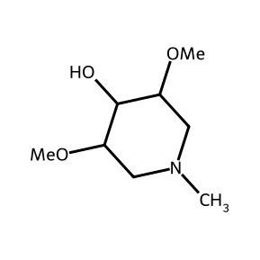 COC1CN(C)CC(OC)C1O